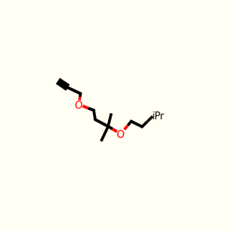 C#CCOCCC(C)(C)OCCC(C)C